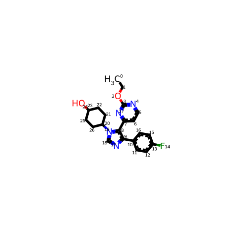 CCOc1nccc(-c2c(-c3ccc(F)cc3)ncn2C2CCC(O)CC2)n1